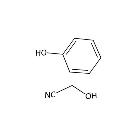 N#CCO.Oc1ccccc1